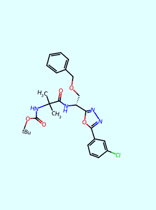 CC(C)(C)OC(=O)NC(C)(C)C(=O)N[C@H](COCc1ccccc1)c1nnc(-c2cccc(Cl)c2)o1